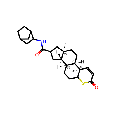 C[C@]12CC[C@@H]3[C@@H](CCC4SC(=O)C=C[C@@]43C)[C@@H]1CC(C(=O)NC1CC3CCC1C3)C2